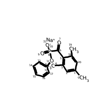 Cc1cc(C)c(C(=O)P(=O)([O-])Oc2ccccc2)c(C)c1.[Na+]